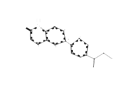 CCC(C)c1ccc(-c2ccc3[nH]c(=O)ccc3c2)cc1